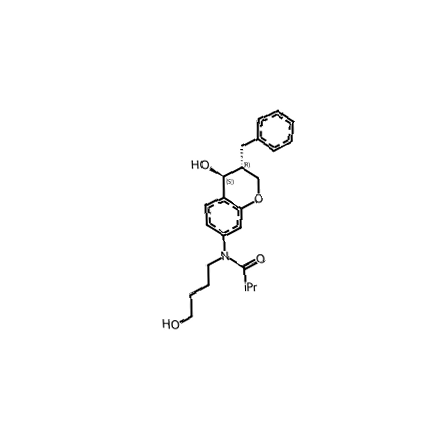 CC(C)C(=O)N(CCCCO)c1ccc2c(c1)OC[C@@H](Cc1ccccc1)[C@@H]2O